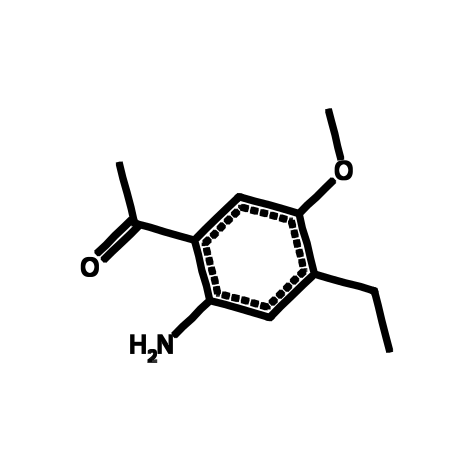 CCc1cc(N)c(C(C)=O)cc1OC